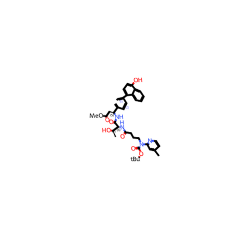 C=C(/C=C\C(=C/C)c1ccc(O)c2ccccc12)[C@H](CC(=O)OC)NC(=O)[C@@H](NC(=O)CCCN(C(=O)OC(C)(C)C)c1cc(C)ccn1)[C@@H](C)O